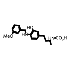 COc1cccc(CNc2ccc(CCC(C)NC(=O)O)cc2O)c1